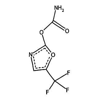 NC(=O)Oc1ncc(C(F)(F)F)o1